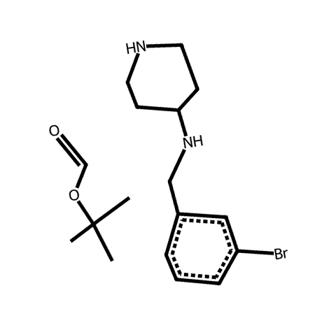 Brc1cccc(CNC2CCNCC2)c1.CC(C)(C)OC=O